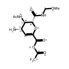 COCNC(=O)[C@@H]1OC(C(=O)OC(=O)C(F)(F)F)=C[C@H](N)[C@H]1NC(C)=O